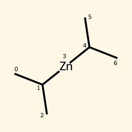 C[CH](C)[Zn][CH](C)C